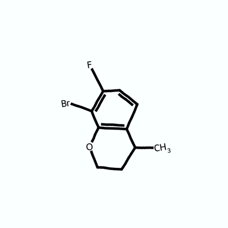 CC1CCOc2c1ccc(F)c2Br